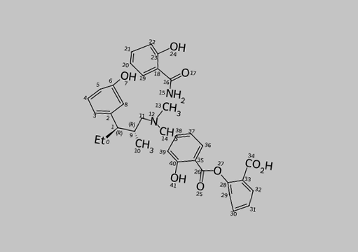 CC[C@@H](c1cccc(O)c1)[C@@H](C)CN(C)C.NC(=O)c1ccccc1O.O=C(Oc1ccccc1C(=O)O)c1ccccc1O